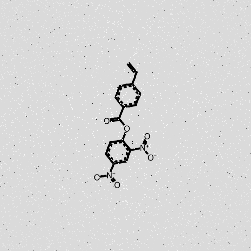 C=Cc1ccc(C(=O)Oc2ccc([N+](=O)[O-])cc2[N+](=O)[O-])cc1